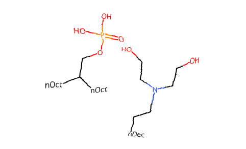 CCCCCCCCC(CCCCCCCC)COP(=O)(O)O.CCCCCCCCCCCCN(CCO)CCO